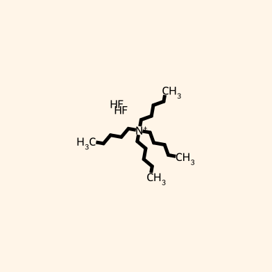 CCCCC[N+](CCCCC)(CCCCC)CCCCC.F.F